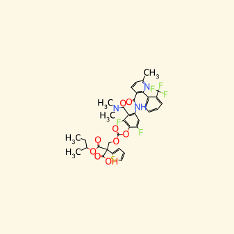 CCC(C)OC(=O)C(COC(=O)Oc1c(F)cc(NC(=O)c2ccc(C)nc2-c2ccccc2C(F)(F)F)c(C(=O)N(C)C)c1F)(C(=O)O)c1cccs1